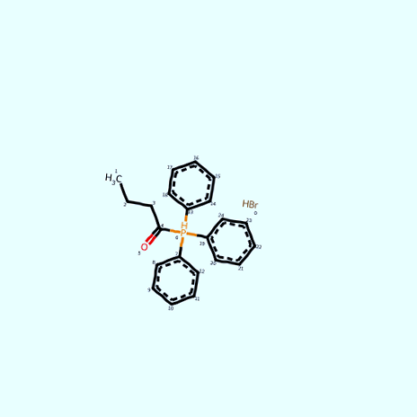 Br.CCCC(=O)[PH](c1ccccc1)(c1ccccc1)c1ccccc1